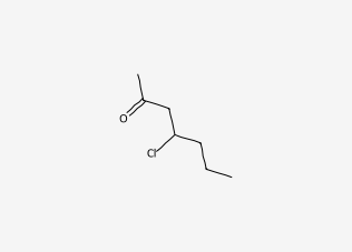 CCCC(Cl)CC(C)=O